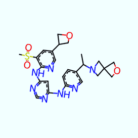 CC(c1ccc(Nc2cc(Nc3ncc(C4COC4)cc3S(C)(=O)=O)ncn2)nc1)N1CC2(COC2)C1